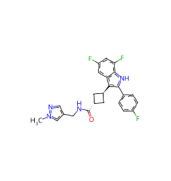 Cn1cc(CNC(=O)[C@H]2C[C@H](c3c(-c4ccc(F)cc4)[nH]c4c(F)cc(F)cc43)C2)cn1